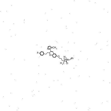 CC(C)CNC(=O)C(C)(C)CCCOc1ccc2c(c1)C=C(c1nccn1C)C(CCc1ccc(F)cc1)O2